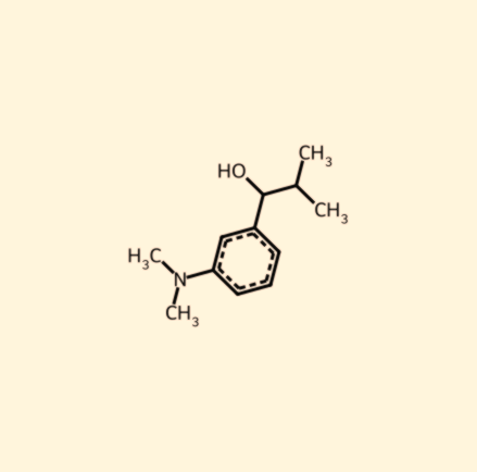 CC(C)C(O)c1cccc(N(C)C)c1